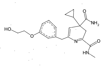 CNC(=O)C1=NC(Cc2cccc(OCCO)c2)=CC(C(N)=O)(C2CC2)C1